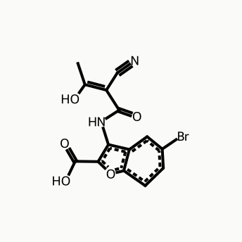 CC(O)=C(C#N)C(=O)Nc1c(C(=O)O)oc2ccc(Br)cc12